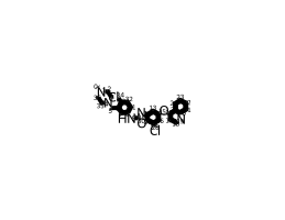 CN1CCN(Cc2cc(Nc3nc4cc(Oc5ccnc6ccccc56)cc(Cl)c4o3)ccc2Cl)CC1